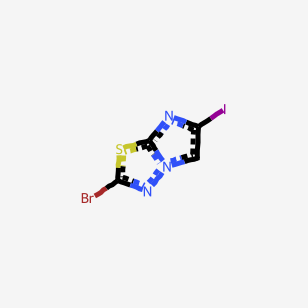 Brc1nn2cc(I)nc2s1